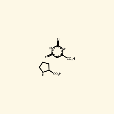 O=C(O)C1CCCN1.O=C(O)c1cc(=O)[nH]c(=O)[nH]1